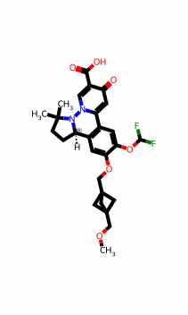 COCC12CC(COc3cc4c(cc3OC(F)F)-c3cc(=O)c(C(=O)O)cn3N3[C@@H]4CCC3(C)C)(C1)C2